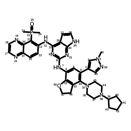 Cn1cc(-c2cc(Nc3nc(Nc4ccc5nccnc5c4P(C)(C)=O)c4cc[nH]c4n3)c3c(c2N2CCN(C4CCCC4)CC2)CCO3)cn1